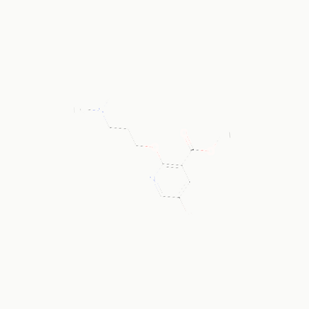 COC(=O)c1cc(Br)cnc1OCCCN(C)C